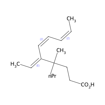 C\C=C/C=C\C(=C/C)C(C)(CCC)CCC(=O)O